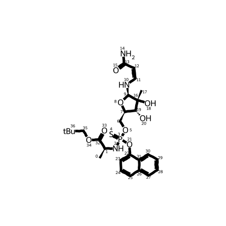 C[C@H](NP(=S)(OC[C@H]1O[C@@H](N/C=C\C(N)=O)[C@](C)(O)[C@@H]1O)Oc1cccc2ccccc12)C(=O)OCC(C)(C)C